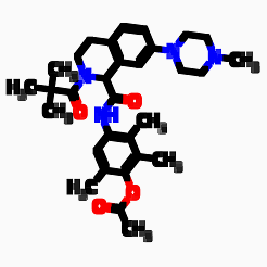 CC(=O)Oc1c(C)cc(NC(=O)C2c3cc(N4CCN(C)CC4)ccc3CCN2C(=O)C(C)(C)C)c(C)c1C